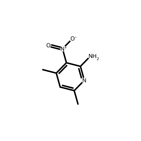 Cc1cc(C)c([N+](=O)[O-])c(N)n1